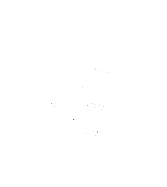 C=C(C=C(C)C)C(C)(C#N)OC